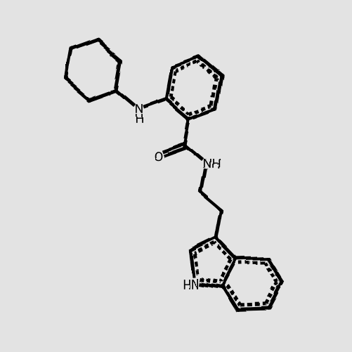 O=C(NCCc1c[nH]c2ccccc12)c1ccccc1NC1CCCCC1